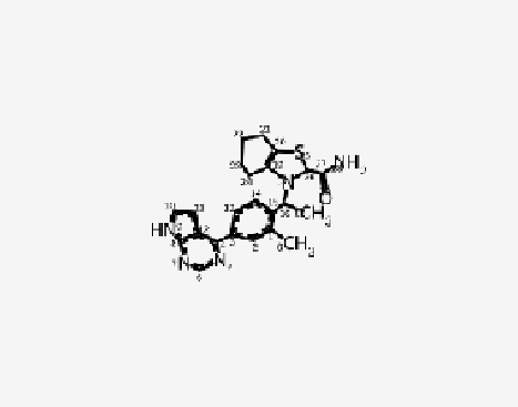 Cc1cc(-c2ncnc3[nH]ccc23)ccc1C(C)N1C2=C(CCCC2)SC1C(N)=O